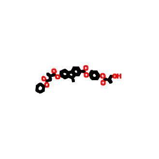 C=C(CO)C(=O)Oc1ccc(OC(=O)c2ccc3c(c2)C(C)c2cc(OC(=O)C(=C)CC(=O)OC4CCCCC4)ccc2-3)cc1